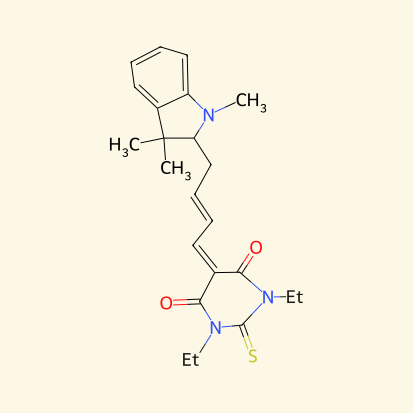 CCN1C(=O)C(=CC=CCC2N(C)c3ccccc3C2(C)C)C(=O)N(CC)C1=S